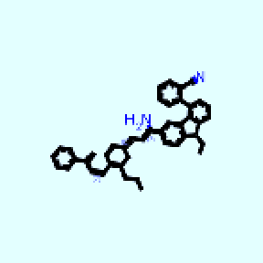 C=C(/C=C\C1=C(CCC)C/C(=C\C=C(/N)c2ccc3c(c2)-c2c(-c4ccccc4C#N)cccc2C3CC)C=C1)c1ccccc1